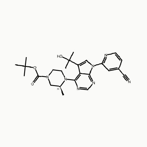 C[C@H]1CN(C(=O)OC(C)(C)C)CCN1c1ncnc2c1c(C(C)(C)O)cn2-c1cc(C#N)ccn1